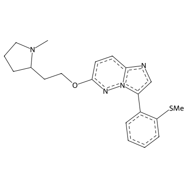 CSc1ccccc1-c1cnc2ccc(OCCC3CCCN3C)nn12